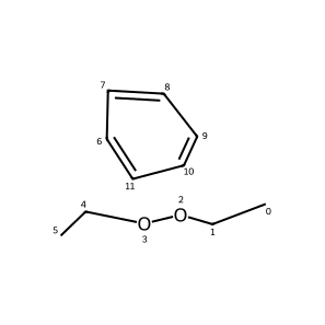 CCOOCC.c1ccccc1